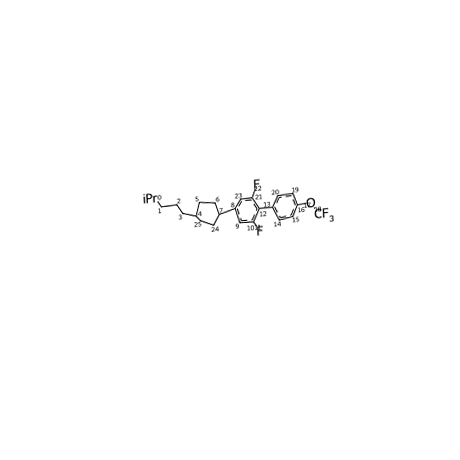 CC(C)CCCC1CCC(c2cc(F)c(-c3ccc(OC(F)(F)F)cc3)c(F)c2)CC1